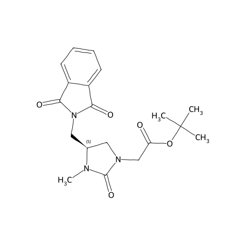 CN1C(=O)N(CC(=O)OC(C)(C)C)C[C@@H]1CN1C(=O)c2ccccc2C1=O